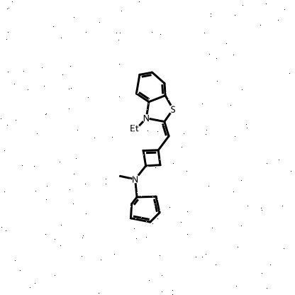 CCN1C(=CC2=CC(N(C)c3ccccc3)C2)Sc2ccccc21